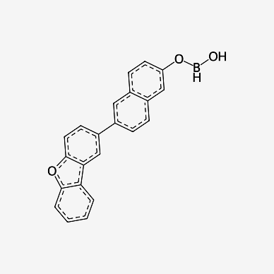 OBOc1ccc2cc(-c3ccc4oc5ccccc5c4c3)ccc2c1